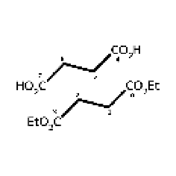 CCOC(=O)CCC(=O)OCC.O=C(O)CCC(=O)O